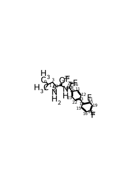 CC(C)C[C@H](N)C(=O)N[C@@H](c1ccc(-c2ccc(F)cc2F)cc1)C(F)F